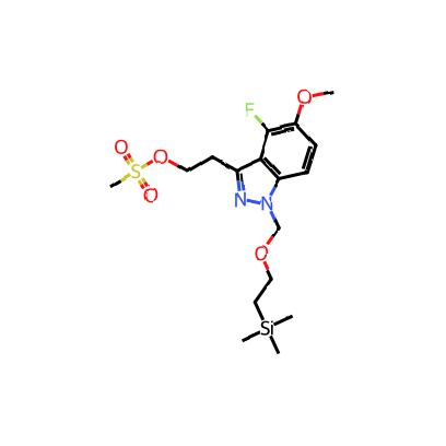 COc1ccc2c(c(CCOS(C)(=O)=O)nn2COCC[Si](C)(C)C)c1F